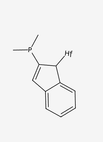 CP(C)C1=Cc2ccccc2[CH]1[Hf]